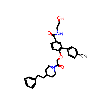 N#Cc1ccc(-c2cc(C(=O)NCCO)ccc2OCC(=O)N2CCC(CCc3ccccc3)CC2)cc1